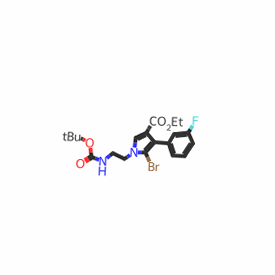 CCOC(=O)c1cn(CCNC(=O)OC(C)(C)C)c(Br)c1-c1cccc(F)c1